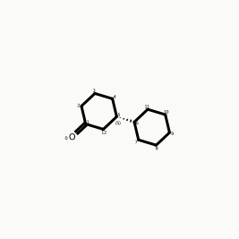 O=C1CCC[C@H](C2CCCCC2)C1